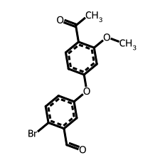 COc1cc(Oc2ccc(Br)c(C=O)c2)ccc1C(C)=O